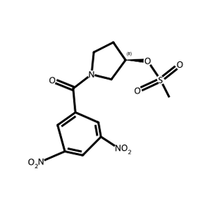 CS(=O)(=O)O[C@@H]1CCN(C(=O)c2cc([N+](=O)[O-])cc([N+](=O)[O-])c2)C1